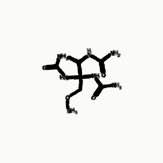 CC(NC(N)=O)C(CO[SiH3])(NC(N)=O)NC(N)=O